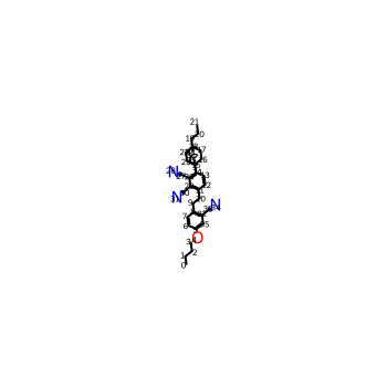 CCCCOc1ccc(CCc2ccc(C34CCC(CCC)(CC3)CC4)c(C#N)c2C#N)c(C#N)c1